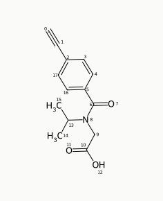 [C]#Cc1ccc(C(=O)N(CC(=O)O)C(C)C)cc1